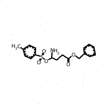 Cc1ccc(S(=O)(=O)OC(N)CCC(=O)OCc2ccccc2)cc1